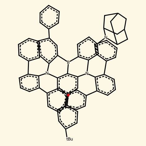 CC(C)(C)c1ccc(-c2cc3c4c(c2)N(c2c(-c5ccccc5)cccc2-c2ccccc2)c2cc(N5C6CC7CC(C6)CC5C7)ccc2B4c2cc(-c4ccccc4)ccc2N3c2c(-c3ccccc3)cccc2-c2ccccc2)cc1